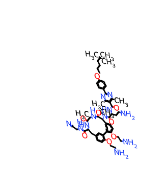 Cc1nc(-c2ccc(OCCCCC(C)(C)C)cc2)nc(C)c1C(=O)NC(CCN)C(=O)N(C)C1C(=O)NC(C)C(=O)NC(C(=O)NCC#N)Cc2ccc(OCCN)c(c2)-c2cc1ccc2OCCN